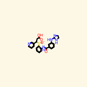 O=C(O)CC(c1cccnc1)[S+]([O-])c1ccccc1NC(=O)c1cccc(NC2=NCCN2)c1